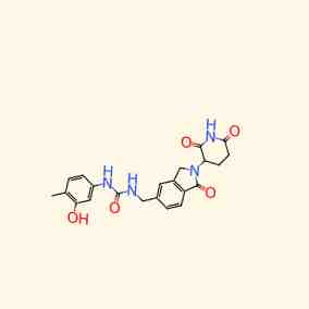 Cc1ccc(NC(=O)NCc2ccc3c(c2)CN(C2CCC(=O)NC2=O)C3=O)cc1O